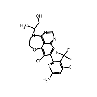 Cc1cc(N)nc(-c2cc3ncnc4c3c(c2Cl)OCCN4C(C)CO)c1C(F)(F)F